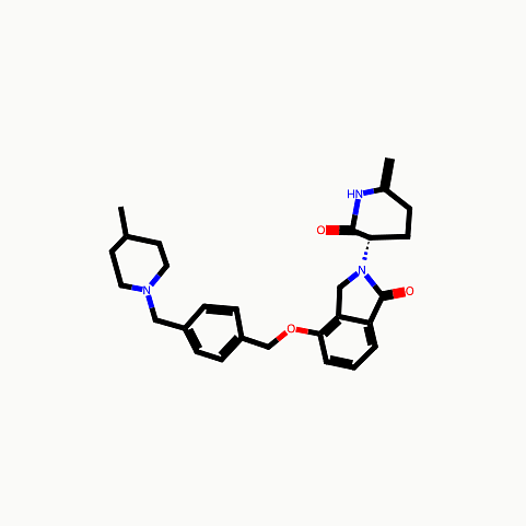 C=C1CC[C@H](N2Cc3c(OCc4ccc(CN5CCC(C)CC5)cc4)cccc3C2=O)C(=O)N1